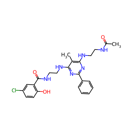 CC(=O)NCCNc1nc(-c2ccccc2)nc(NCCNC(=O)c2cc(Cl)ccc2O)c1C